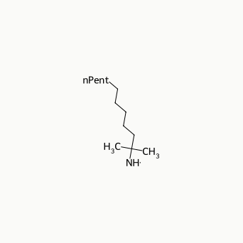 CCCCCCCCCCC(C)(C)[NH]